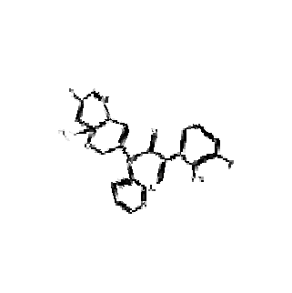 C/C=C(\C(=O)N(C1=CC2N=CC(F)=CC2(C)OC1)c1cccnc1)c1cccc(F)c1C#N